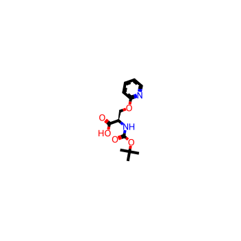 CC(C)(C)OC(=O)N[C@H](COc1ccccn1)C(=O)O